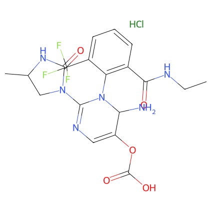 CCNC(=O)c1cccc(C(F)(F)F)c1N1C(N2CC(C)NC2=O)=NC=C(OC(=O)O)C1N.Cl